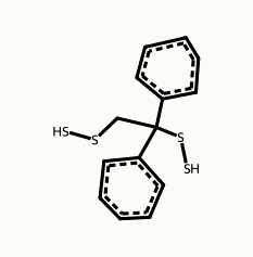 SSCC(SS)(c1ccccc1)c1ccccc1